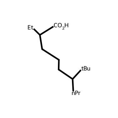 CCCC(CCCC(CC)C(=O)O)C(C)(C)C